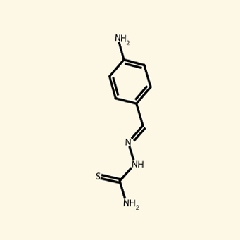 NC(=S)N/N=C/c1ccc(N)cc1